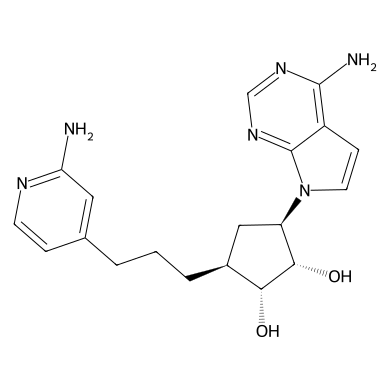 Nc1cc(CCC[C@H]2C[C@@H](n3ccc4c(N)ncnc43)[C@H](O)[C@@H]2O)ccn1